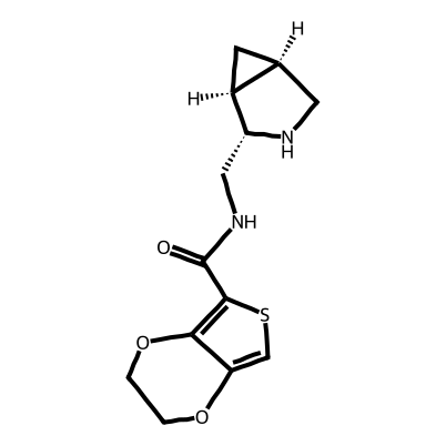 O=C(NC[C@H]1NC[C@@H]2C[C@@H]21)c1scc2c1OCCO2